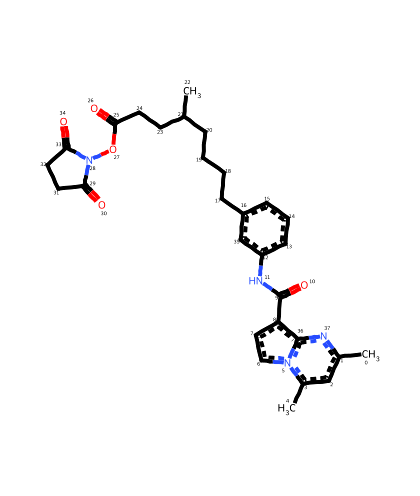 Cc1cc(C)n2ccc(C(=O)Nc3cccc(CCCCC(C)CCC(=O)ON4C(=O)CCC4=O)c3)c2n1